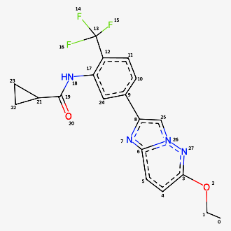 CCOc1ccc2nc(-c3ccc(C(F)(F)F)c(NC(=O)C4CC4)c3)cn2n1